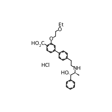 CCOCCOc1cc(-c2ccc(CCN[C@@H](C)[C@@H](O)c3ccccc3)cc2)ccc1C(=O)O.Cl